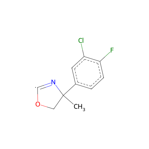 CC1(c2ccc(F)c(Cl)c2)CO[C]=N1